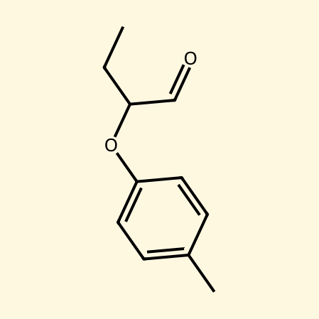 CCC(C=O)Oc1ccc(C)cc1